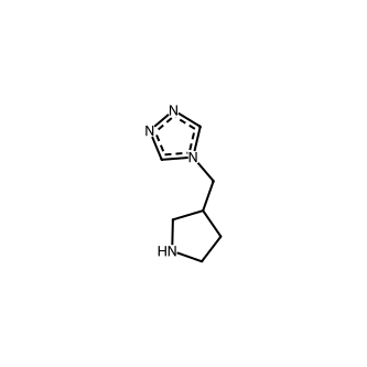 c1nncn1CC1CCNC1